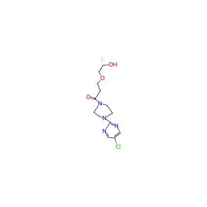 C[C@H](O)COCCC(=O)N1CCN(c2ncc(Cl)cn2)CC1